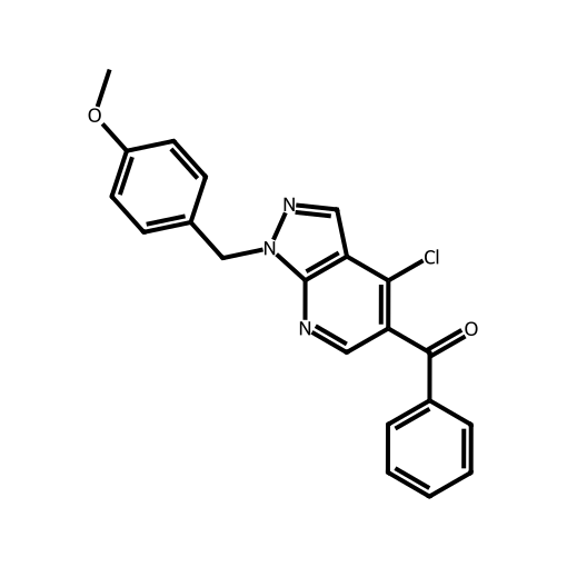 COc1ccc(Cn2ncc3c(Cl)c(C(=O)c4ccccc4)cnc32)cc1